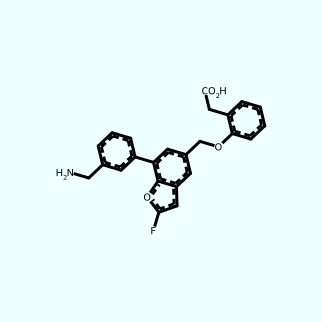 NCc1cccc(-c2cc(COc3ccccc3CC(=O)O)cc3cc(F)oc23)c1